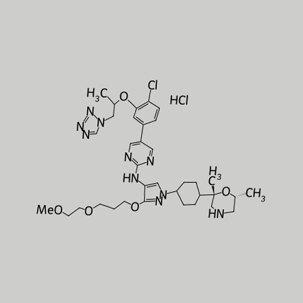 COCCOCCCOc1nn(C2CCC([C@@]3(C)CNC[C@@H](C)O3)CC2)cc1Nc1ncc(-c2ccc(Cl)c(OC(C)Cn3cnnn3)c2)cn1.Cl